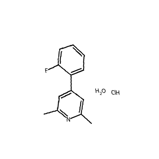 Cc1cc(-c2ccccc2F)cc(C)n1.Cl.O